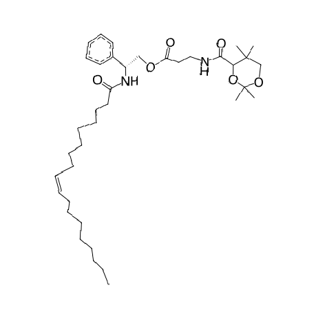 CCCCCCCC/C=C\CCCCCCCC(=O)N[C@@H](COC(=O)CCNC(=O)C1OC(C)(C)OCC1(C)C)c1ccccc1